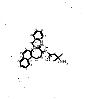 CC(C)(N)CC(=O)NC1CCc2c(ccc3ccccc23)N(Cc2ccccc2)C1=O